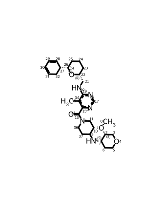 CO[C@@H]1COCC[C@@H]1NC1CCN(C(=O)c2ncnc(NC[C@H]3CCC[C@@H](C4C=CC=CC4)O3)c2C)CC1